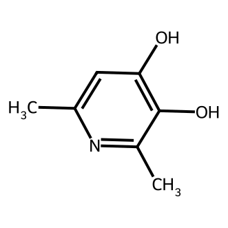 Cc1cc(O)c(O)c(C)n1